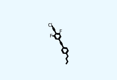 CCCCc1ccc(C#Cc2cc(F)c(C#CCl)c(F)c2)cc1